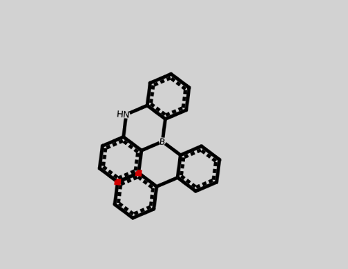 c1ccc(-c2ccccc2B2c3ccccc3Nc3ccccc32)cc1